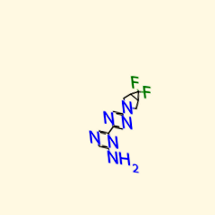 Nc1cncc(-c2cnc(N3CC4C(C3)C4(F)F)cn2)n1